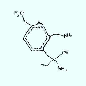 CC(N)(C#N)c1ccc(C(F)(F)F)cc1N